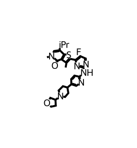 Cc1c(-c2nc(Nc3ccc(C4CCN(C5CCOC5)CC4)cn3)ncc2F)sc2c(C(C)C)cn(C)c(=O)c12